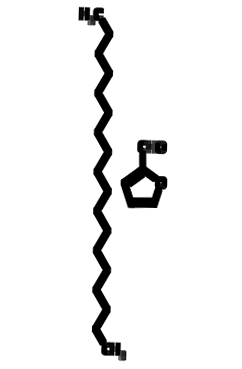 CCCCCCCCCCCCCCCCCC.O=Cc1ccco1